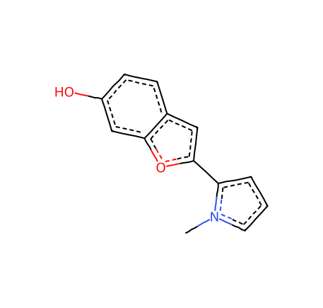 Cn1cccc1-c1cc2ccc(O)cc2o1